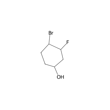 OC1CCC(Br)C(F)C1